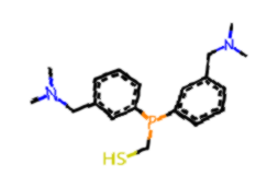 CN(C)Cc1cccc(P(CS)c2cccc(CN(C)C)c2)c1